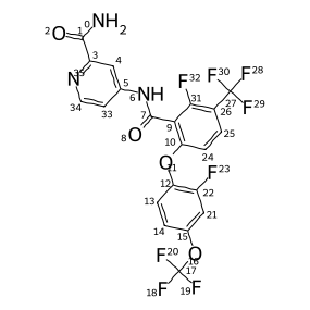 NC(=O)c1cc(NC(=O)c2c(Oc3ccc(OC(F)(F)F)cc3F)ccc(C(F)(F)F)c2F)ccn1